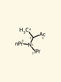 CCCN(C(C)C)C(C)C(C)=O